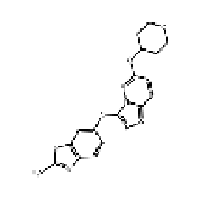 Nc1nc2ccc(Sc3nnc4ccc(OC5CCOCC5)nn34)cc2s1